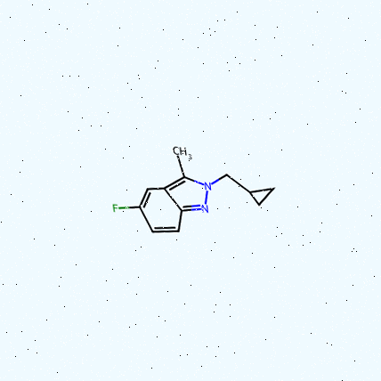 Cc1c2cc(F)ccc2nn1CC1CC1